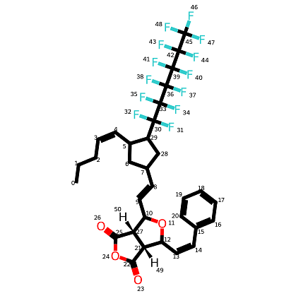 CCC/C=C\C1CC(/C=C/C2OC(/C=C\c3ccccc3)[C@@H]3C(=O)OC(=O)[C@H]23)CC1C(F)(F)C(F)(F)C(F)(F)C(F)(F)C(F)(F)C(F)(F)F